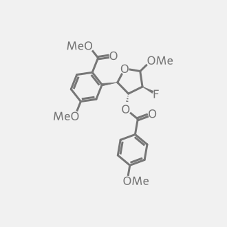 COC(=O)c1ccc(OC)cc1[C@H]1OC(OC)[C@@H](F)[C@@H]1OC(=O)c1ccc(OC)cc1